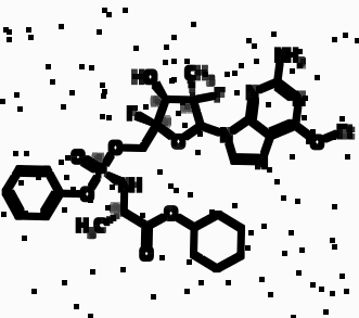 CCOc1nc(N)nc2c1ncn2C1O[C@](F)(CO[P@](=O)(N[C@@H](C)C(=O)OC2CCCCC2)Oc2ccccc2)[C@@H](O)[C@@]1(C)F